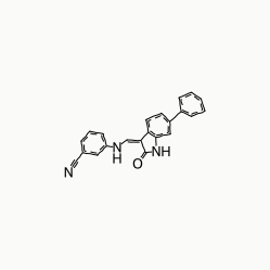 N#Cc1cccc(N/C=C2\C(=O)Nc3cc(-c4ccccc4)ccc32)c1